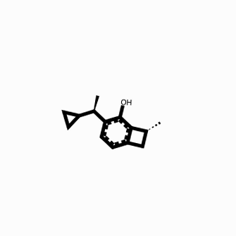 C[C@@H]1Cc2ccc([C@H](C)C3CC3)c(O)c21